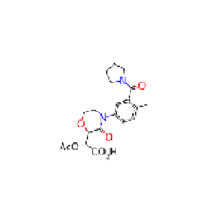 CC(=O)O[C@@H](C(=O)O)[C@H]1OCCN(c2ccc(C)c(C(=O)N3CCCC3)c2)C1=O